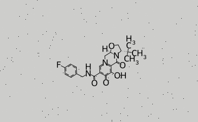 CC(C)(C)[C@H]1CO[C@@H]2Cn3cc(C(=O)NCc4ccc(F)cc4)c(=O)c(O)c3C(=O)N21